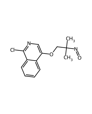 CC(C)(COc1cnc(Cl)c2ccccc12)N=O